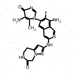 Cc1c(N)c(=O)ncn1-c1cc2cc(Nc3cc4n(n3)CC(=O)NCC4)ncc2c(N)c1F